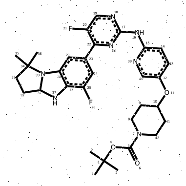 CC(C)(C)OC(=O)N1CCC(Oc2ccc(Nc3ncc(F)c(-c4cc(F)c5c(c4)N4C(CCC4(C)C)N5)n3)nc2)CC1